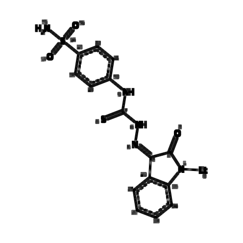 CCN1C(=O)/C(=N\NC(=S)Nc2ccc(S(N)(=O)=O)cc2)c2ccccc21